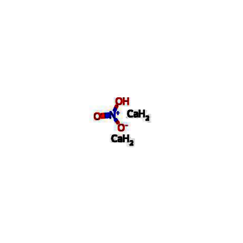 O=[N+]([O-])O.[CaH2].[CaH2]